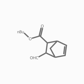 CCCCOC(=O)C1C2C=CC(C2)C1C=O